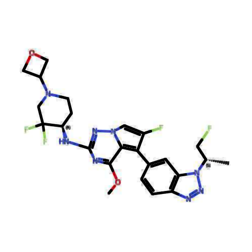 COc1nc(N[C@@H]2CCN(C3COC3)CC2(F)F)nn2cc(F)c(-c3ccc4nnn([C@@H](C)CF)c4c3)c12